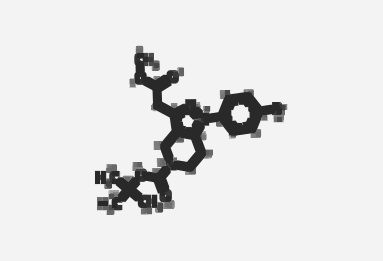 COC(=O)Cc1nn(-c2ccc(Br)cc2)c2c1CN(C(=O)OC(C)(C)C)CC2